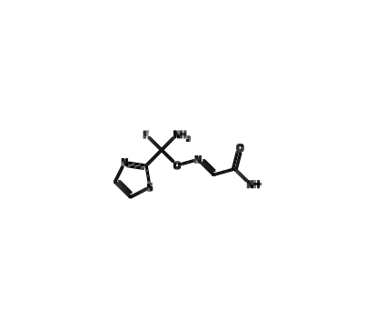 [NH]C(=O)/C=N/OC(N)(F)c1nccs1